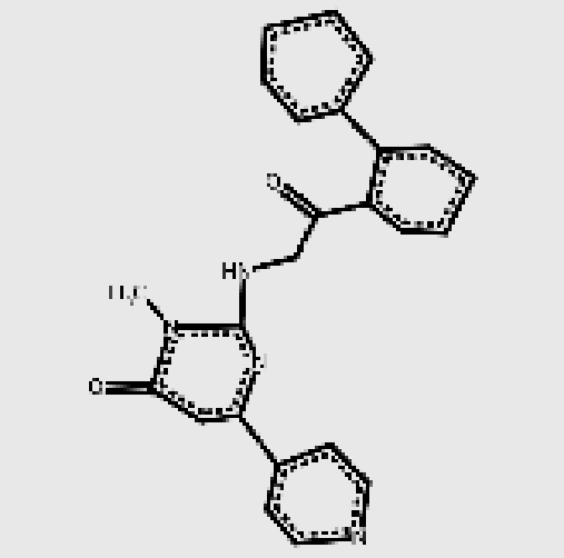 Cn1c(NCC(=O)c2ccccc2-c2ccccc2)nc(-c2ccncc2)cc1=O